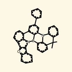 CC1(C)c2ccccc2N2c3cc(-c4ccccc4)cc4c3B(c3cccc1c32)n1c2c-4cccc2c2oc3ccccc3c21